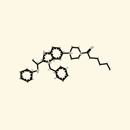 CCCCCC(=O)N1CCN(c2ccc3nc(C(C)Oc4ccccc4)n(Cc4ccccc4)c3c2)CC1